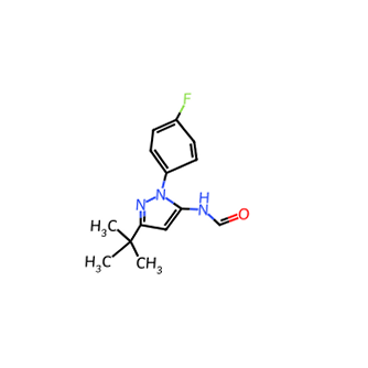 CC(C)(C)c1cc(NC=O)n(-c2ccc(F)cc2)n1